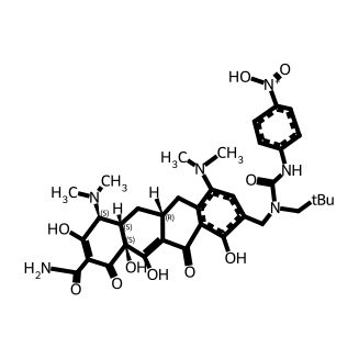 CN(C)c1cc(CN(CC(C)(C)C)C(=O)Nc2ccc([N+](=O)O)cc2)c(O)c2c1C[C@H]1C[C@H]3[C@H](N(C)C)C(O)=C(C(N)=O)C(=O)[C@@]3(O)C(O)=C1C2=O